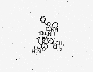 CC1(C)C2CN(C(=O)[C@@H](NC(=O)NC3(COCc4ccccc4)CCCCC3)C(C)(C)C)[C@H](C(=O)NC(CC3CC3)C(=O)C(N)=O)C21